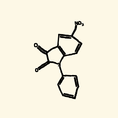 O=C1C(=O)N(c2ccccc2)c2ccc([N+](=O)[O-])cc21